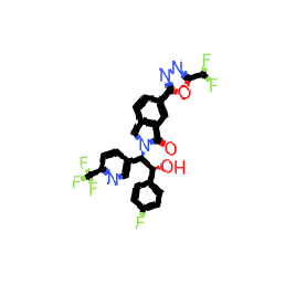 O=C1c2cc(-c3nnc(C(F)F)o3)ccc2CN1[C@H](c1ccc(C(F)(F)F)nc1)[C@@H](O)c1ccc(F)cc1